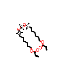 C=CC(=O)OCCCCCC[Si](C)(C)O[Si](C)(C)O[Si](C)(C)CCCCCCOC(=O)C=C